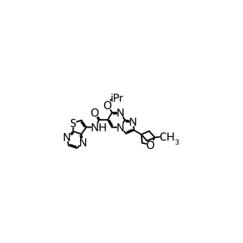 CC(C)Oc1nc2nc(C34COC(C)(C3)C4)cn2cc1C(=O)Nc1csc2nccnc12